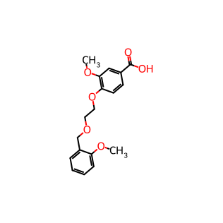 COc1ccccc1COCCOc1ccc(C(=O)O)cc1OC